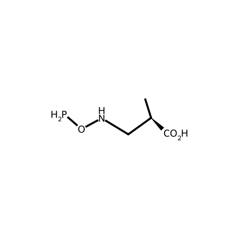 C[C@H](CNOP)C(=O)O